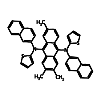 Cc1ccc2c(N(c3ccc4ccccc4c3)c3cccs3)c3cc(C)c(C)cc3c(N(c3ccc4ccccc4c3)c3cccs3)c2c1